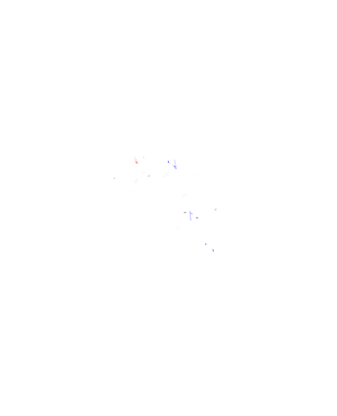 Cc1ccc(-c2cc(N3CCN(C)CC3)ccn2)o1